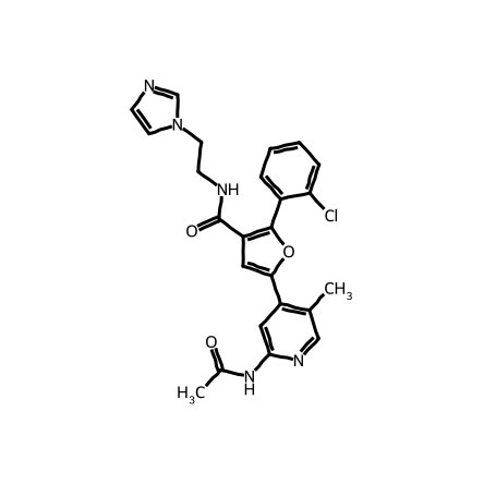 CC(=O)Nc1cc(-c2cc(C(=O)NCCn3ccnc3)c(-c3ccccc3Cl)o2)c(C)cn1